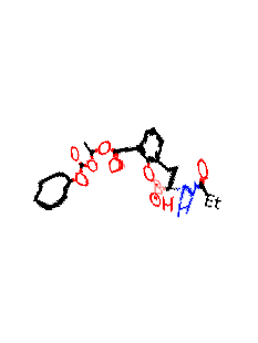 CCC(=O)N[C@H]1Cc2cccc(C(=O)OC(C)OC(=O)OC3CCCCC3)c2OB1O